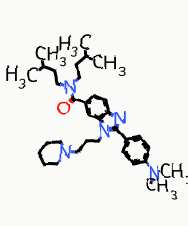 CC(C)CCN(CCC(C)C)C(=O)c1ccc2nc(-c3ccc(N(C)C)cc3)n(CCCN3CCCCC3)c2c1